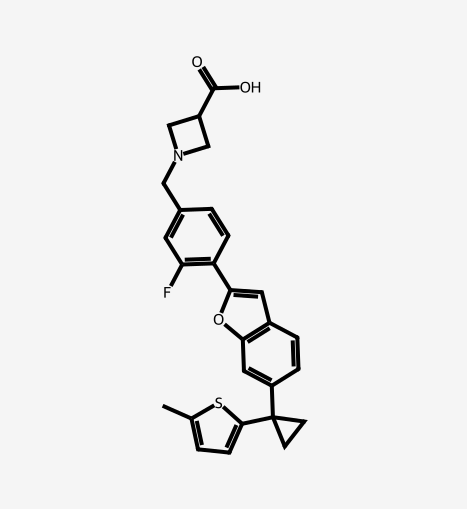 Cc1ccc(C2(c3ccc4cc(-c5ccc(CN6CC(C(=O)O)C6)cc5F)oc4c3)CC2)s1